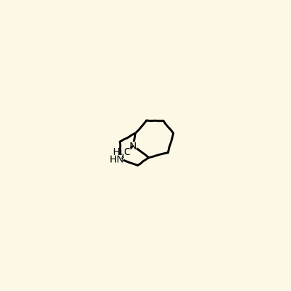 CN1C2CCCCC1CNC2